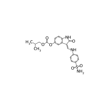 CC(C)COC(=O)Oc1ccc2c(c1)C(=CNc1ccc(S(N)(=O)=O)cc1)C(=O)N2